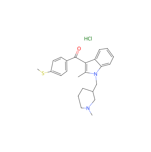 CSc1ccc(C(=O)c2c(C)n(CC3CCCN(C)C3)c3ccccc23)cc1.Cl